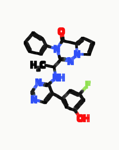 CC(Nc1ncncc1-c1cc(O)cc(F)c1)c1nn2cccc2c(=O)n1-c1ccccc1